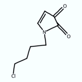 O=C1C=CN(CCCCCl)C1=O